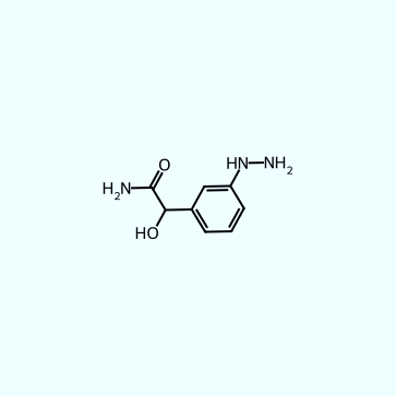 NNc1cccc(C(O)C(N)=O)c1